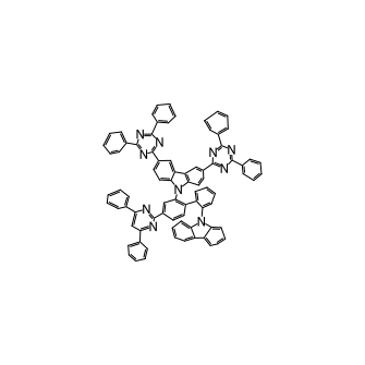 c1ccc(-c2cc(-c3ccccc3)nc(-c3ccc(-c4ccccc4-n4c5ccccc5c5ccccc54)c(-n4c5ccc(-c6nc(-c7ccccc7)nc(-c7ccccc7)n6)cc5c5cc(-c6nc(-c7ccccc7)nc(-c7ccccc7)n6)ccc54)c3)n2)cc1